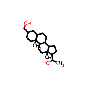 CC(O)C1CCC2C3CCC4CC(CO)CCC4(C)C3CCC12C